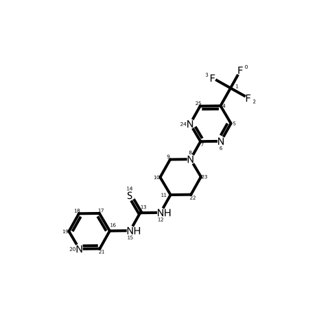 FC(F)(F)c1cnc(N2CCC(NC(=S)Nc3cccnc3)CC2)nc1